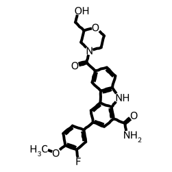 COc1ccc(-c2cc(C(N)=O)c3[nH]c4ccc(C(=O)N5CCOC(CO)C5)cc4c3c2)cc1F